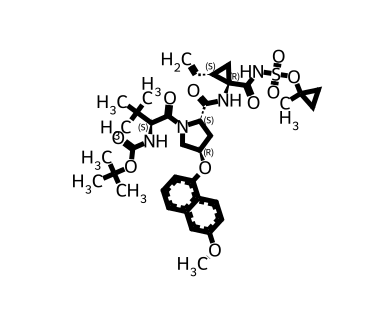 C=C[C@@H]1C[C@]1(NC(=O)[C@@H]1C[C@@H](Oc2cccc3cc(OC)ccc23)CN1C(=O)[C@@H](NC(=O)OC(C)(C)C)C(C)(C)C)C(=O)NS(=O)(=O)OC1(C)CC1